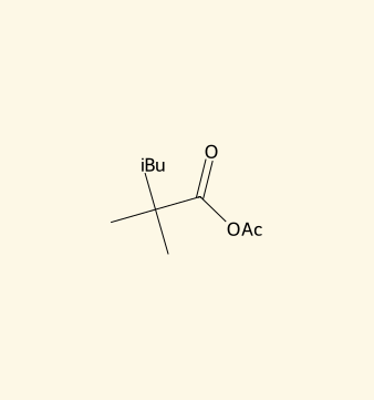 CCC(C)C(C)(C)C(=O)OC(C)=O